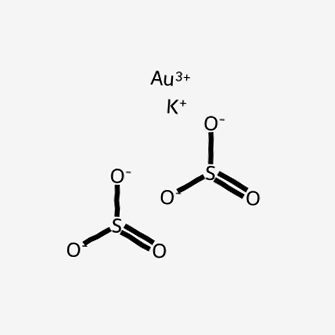 O=S([O-])[O-].O=S([O-])[O-].[Au+3].[K+]